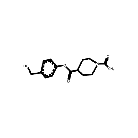 CC(=O)N1CCC(C(=O)Oc2ccc(CO)cc2)CC1